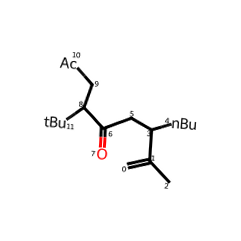 C=C(C)C(CCCC)CC(=O)C(CC(C)=O)C(C)(C)C